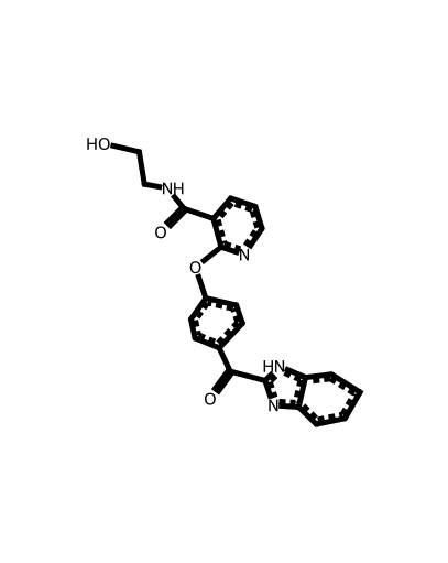 O=C(c1ccc(Oc2ncccc2C(=O)NCCO)cc1)c1nc2ccccc2[nH]1